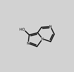 Oc1ncn2ccncc12